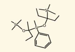 CCC(CC)(O[Si](C)(c1ccccc1)C(C)(CC)O[Si](C)(C)C)[Si](C)(C)C